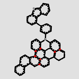 C1=CCCC(c2cccc3cccc(-c4ccccc4N(c4cccc(-c5cccc6c5ccc5ccccc56)c4)c4cccc(-c5cccc6sc7ccccc7c56)c4)c23)=C1